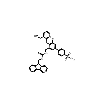 NS(=O)(=O)c1ccc(-c2cc(Cl)c(Sc3ncccc3CO)c(CNC(=O)OCC3c4ccccc4-c4ccccc43)c2)cc1